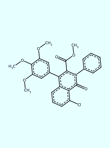 COC(=O)c1c(-c2cc(OC)c(OC)c(OC)c2)c2cccc(Cl)c2c(=O)n1-c1ccccc1